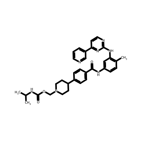 Cc1ccc(NC(=O)c2ccc(C3CCN(COC(=O)NC(C)C)CC3)cc2)cc1Nc1nccc(-c2cccnc2)n1